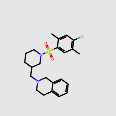 Cc1cc(S(=O)(=O)N2CCCC(CN3CCc4ccccc4C3)C2)c(C)cc1Cl